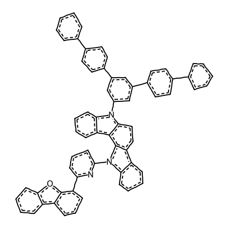 c1ccc(-c2ccc(-c3cc(-c4ccc(-c5ccccc5)cc4)cc(-n4c5ccccc5c5c4ccc4c6ccccc6n(-c6cccc(-c7cccc8c7oc7ccccc78)n6)c45)c3)cc2)cc1